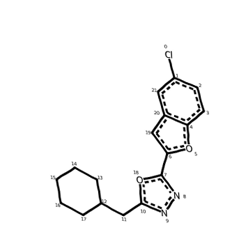 Clc1ccc2oc(-c3nnc(CC4CCCCC4)o3)cc2c1